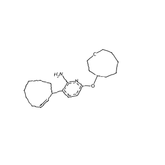 Nc1nc(OC2CCCCCCCC2)ccc1C1/C=C\CCCCCC1